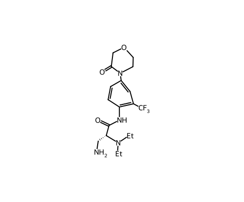 CCN(CC)[C@H](CN)C(=O)Nc1ccc(N2CCOCC2=O)cc1C(F)(F)F